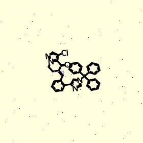 O=C1/C(=C/c2ccccc2-c2cn(C(c3ccccc3)(c3ccccc3)c3ccccc3)cn2)CCn2ncc(Cl)c21